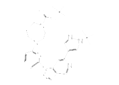 CC(C)(C)OC(=O)N1CCCN(c2cccc(-n3ncc4cnc(-c5cnn(C(C)(C)C)c5)cc43)n2)CC1